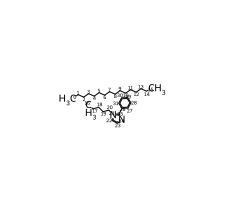 CCCCCCCCCCCCCCCC.CCCCCn1ccnc1-c1ccccc1